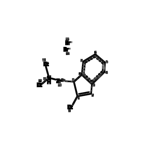 CCC1=Cc2ccccc2[CH]1[Zr+2][SiH](CC)CC.[Br-].[Br-]